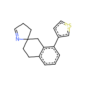 C1=NC2(CC1)CCc1cccc(-c3ccsc3)c1C2